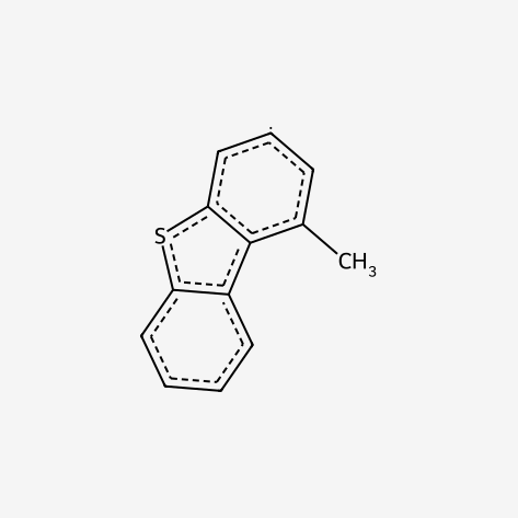 Cc1c[c]cc2sc3ccccc3c12